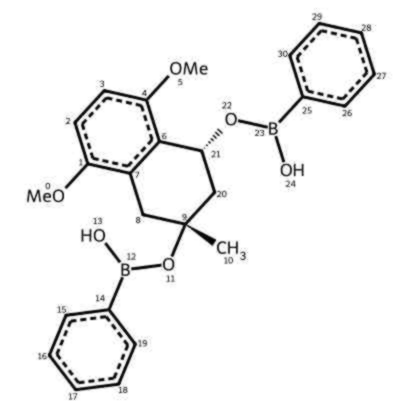 COc1ccc(OC)c2c1C[C@@](C)(OB(O)c1ccccc1)C[C@H]2OB(O)c1ccccc1